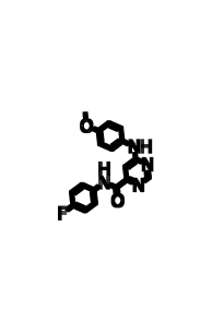 COc1ccc(Nc2cc(C(=O)Nc3ccc(F)cc3)ncn2)cc1